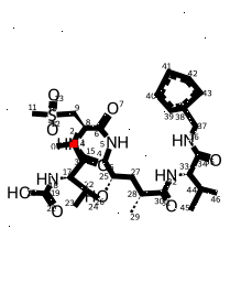 CC(C)C[C@H](NC(=O)[C@H](CS(C)(=O)=O)NC(=O)[C@@H](NC(=O)O)C(C)C)[C@@H](O)C[C@@H](C)C(=O)N[C@H](C(=O)NCc1ccccc1)C(C)C